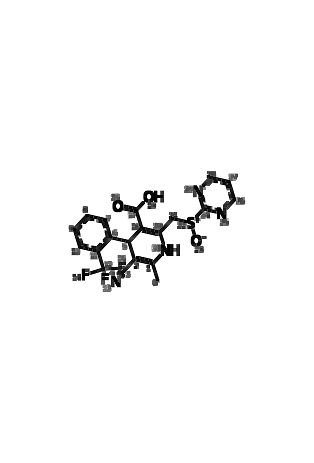 CC1=C(C#N)C(c2ccccc2C(F)(F)F)C(C(=O)O)=C(C[S+]([O-])c2ncccn2)N1